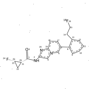 O=C(Nc1cn2cc(-c3ccccc3CC[18F])ccc2n1)[C@@H]1C[C@@H]1F